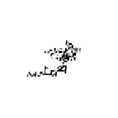 COCCNCc1ccc(-c2cc3nccc(Oc4ccc(NC(=O)C5(C(=O)Nc6ccc(F)cc6)CC5)cc4F)c3s2)nc1.O=C(O)CC(O)C(=O)O